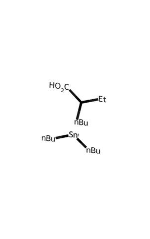 CCCCC(CC)C(=O)O.CCC[CH2][Sn][CH2]CCC